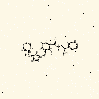 O=C(NCC(O)c1ccccc1)c1nccc(Sc2cnc(Nc3ccccn3)s2)c1F